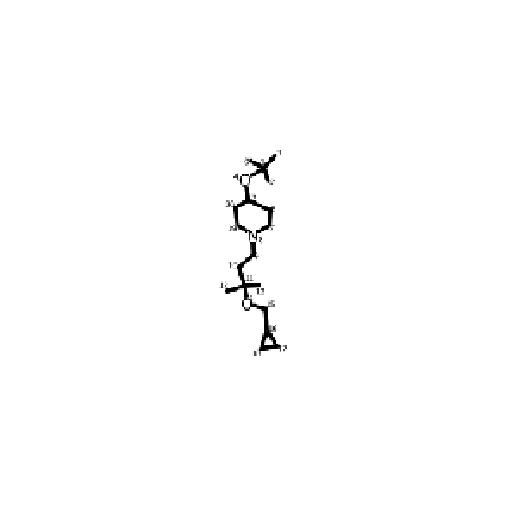 CC(C)(C)OC1CCN(CCC(C)(C)OCC2CC2)CC1